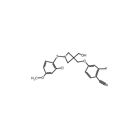 COc1ccc(SN2CC(CO)(COc3ccc(C#N)c(F)c3)C2)c(Cl)c1